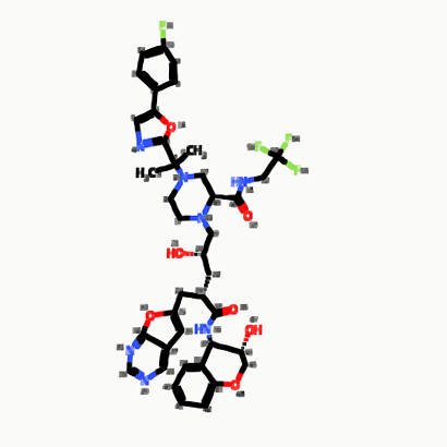 CC(C)(c1ncc(-c2ccc(F)cc2)o1)N1CCN(C[C@@H](O)C[C@@H](Cc2cc3cncnc3o2)C(=O)N[C@H]2c3ccccc3OC[C@H]2O)[C@H](C(=O)NCC(F)(F)F)C1